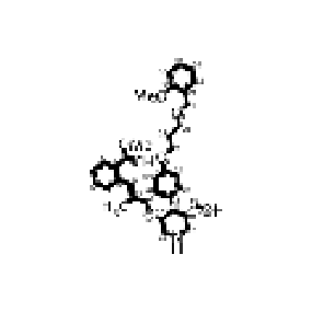 C=C(OC)c1ccccc1/C=C(\C)CO[C@H]1CNC[C@@H](CO)[C@@H]1c1ccc(OCCCOCc2ccccc2OC)cc1